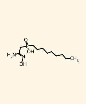 CCCCCCCCCP(=O)(O)CC(N)=NO